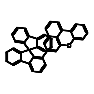 c1ccc2c(c1)Oc1cc(-c3cccc4c3C3(c5ccccc5-c5ccccc53)c3ccccc3-4)cc3cccc-2c13